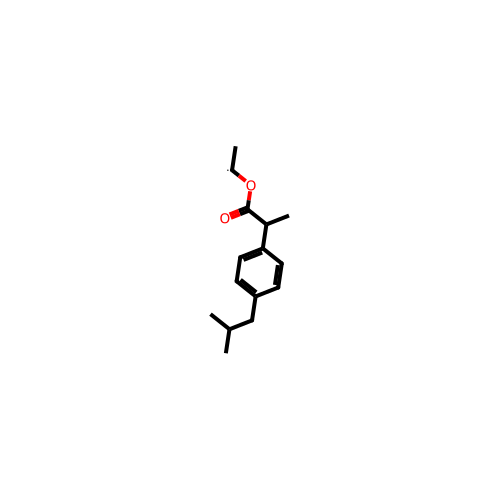 C[CH]OC(=O)C(C)c1ccc(CC(C)C)cc1